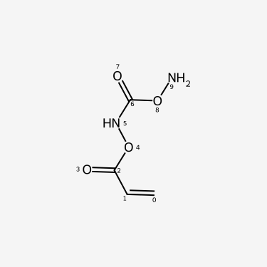 C=CC(=O)ONC(=O)ON